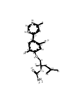 Cc1cc(-c2cc(F)c(OC[C@](C)(CC(C)C)OC(N)=O)cc2F)ncn1